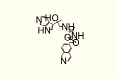 C[C@H](CNCC(C)(O)c1c[nH]c2cnccc12)NS(=O)(=O)c1ccc2cnccc2c1